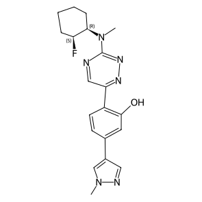 CN(c1ncc(-c2ccc(-c3cnn(C)c3)cc2O)nn1)[C@@H]1CCCC[C@@H]1F